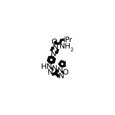 CC(C)CC(N)C(=O)N1CCN(c2ccc(Nc3ncc4cnc(=O)n(C5CCCC5)c4n3)cc2)CC1